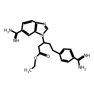 CCOC(=O)CC(CCc1ccc(C(=N)N)cc1)n1cnc2ccc(C(=N)N)cc21